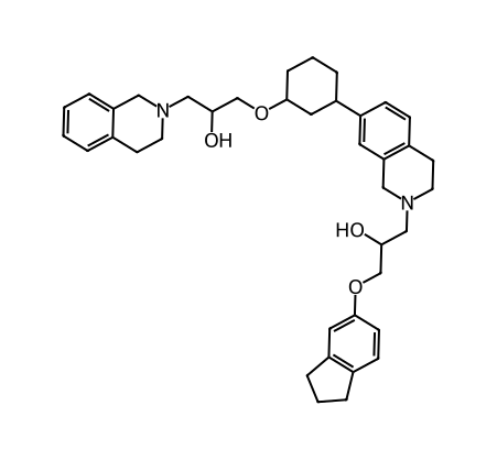 OC(COc1ccc2c(c1)CCC2)CN1CCc2ccc(C3CCCC(OCC(O)CN4CCc5ccccc5C4)C3)cc2C1